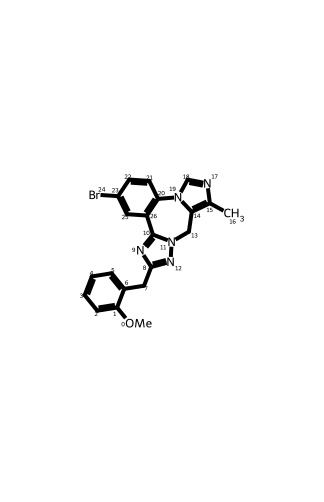 COc1ccccc1Cc1nc2n(n1)Cc1c(C)ncn1-c1ccc(Br)cc1-2